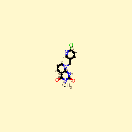 Cn1c(=O)nc2n(Cc3ccc(Cl)nc3)cccc-2c1=O